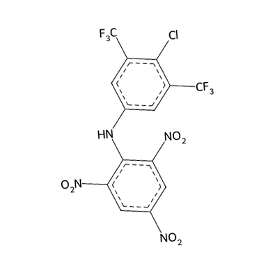 O=[N+]([O-])c1cc([N+](=O)[O-])c(Nc2cc(C(F)(F)F)c(Cl)c(C(F)(F)F)c2)c([N+](=O)[O-])c1